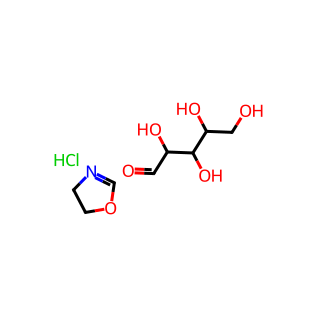 C1=NCCO1.Cl.O=CC(O)C(O)C(O)CO